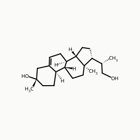 C[C@H](CO)[C@H]1CC[C@H]2[C@@H]3CC=C4C[C@@](C)(O)CC[C@@H]4[C@H]3CC[C@]12C